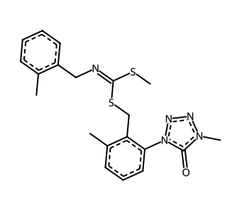 CS/C(=N/Cc1ccccc1C)SCc1c(C)cccc1-n1nnn(C)c1=O